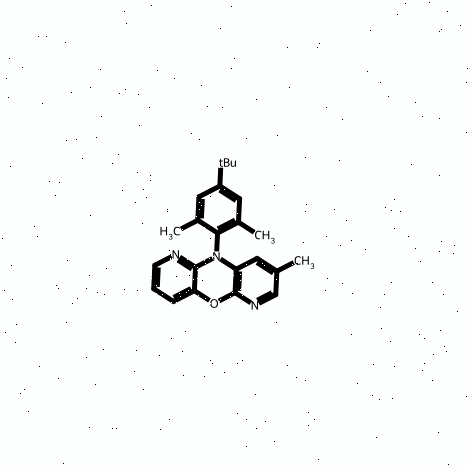 Cc1cnc2c(c1)N(c1c(C)cc(C(C)(C)C)cc1C)c1ncccc1O2